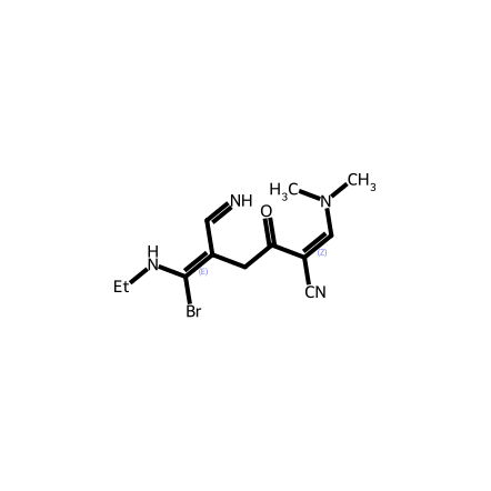 CCN/C(Br)=C(\C=N)CC(=O)/C(C#N)=C\N(C)C